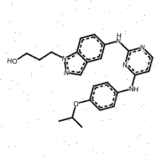 CC(C)Oc1ccc(Nc2ccnc(Nc3ccc4c(cnn4CCCO)c3)n2)cc1